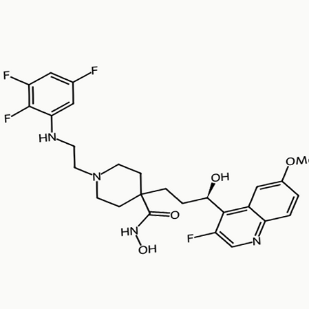 COc1ccc2ncc(F)c([C@H](O)CCC3(C(=O)NO)CCN(CCNc4cc(F)cc(F)c4F)CC3)c2c1